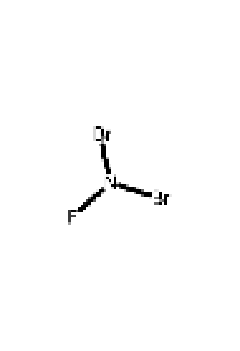 FN(Br)Br